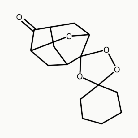 O=C1C2CC3CC1CC(C2)C31OOC2(CCCCC2)O1